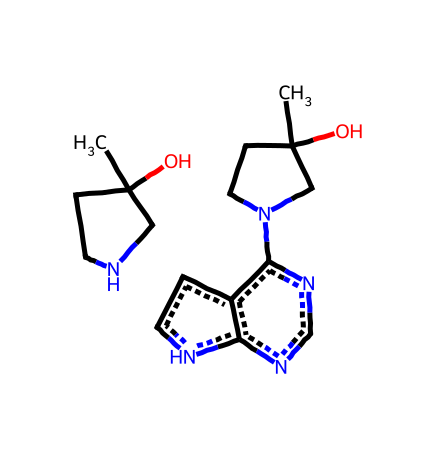 CC1(O)CCN(c2ncnc3[nH]ccc23)C1.CC1(O)CCNC1